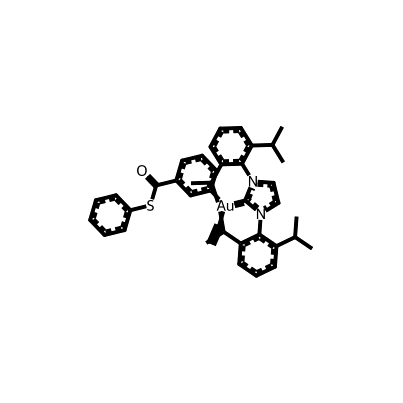 C#[C][Au]([c]1cccc(C(=O)Sc2ccccc2)c1)=[c]1n(-c2c(C(C)C)cccc2C(C)C)ccn1-c1c(C(C)C)cccc1C(C)C